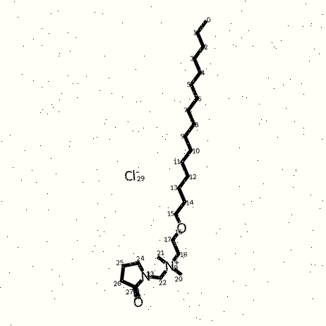 CCCCCCCCCCCCCCCCOCC[N+](C)(C)CN1CCCC1=O.[Cl-]